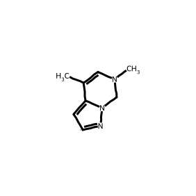 CC1=CN(C)Cn2n[c]cc21